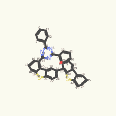 c1ccc(-c2nc(-c3ccccc3)nc(-c3cccc4sc5ccc(-c6cccc7c6sc6ccccc67)cc5c34)n2)cc1